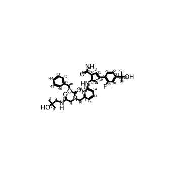 CC(C)(O)CNC(=O)CN(Cc1cccc(Nc2sc(-c3ccc(C(C)(C)O)cc3F)cc2C(N)=O)n1)C(=O)OCc1ccccc1